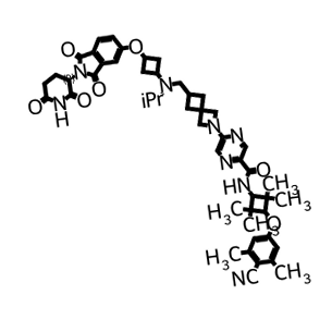 Cc1cc(OC2C(C)(C)C(NC(=O)c3cnc(N4CC5(CC(CN(C(C)C)C6CC(Oc7ccc8c(c7)C(=O)N([C@@H]7CCC(=O)NC7=O)C8=O)C6)C5)C4)cn3)C2(C)C)cc(C)c1C#N